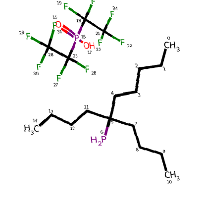 CCCCCC(P)(CCCC)CCCC.O=P(O)(C(F)(F)C(F)(F)F)C(F)(F)C(F)(F)F